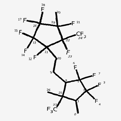 CC1C(F)(F)C(F)(F)C(CCC2(F)C(F)(F)C(F)(F)C(C)(F)C2(F)C(F)(F)F)C1(C)C(F)(F)F